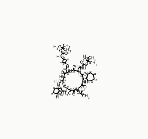 CCC[C@H]1C(=O)N[C@@H](C2CCCCCC2)C(=O)N[C@@H](CNC(=O)OC(C)(C)C)C(=O)N[C@@H](COC2CC(NC(=O)OC(C)(C)C)C2)C(=O)N[C@H](C)CO[C@H](CC2C[C@H]3CC[C@@H](C2)C3)[C@@H](C)C(=O)N1C